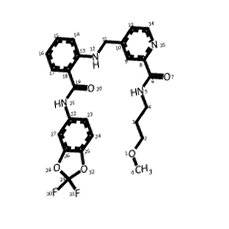 COCCCNC(=O)c1cc(CNc2ccccc2C(=O)Nc2ccc3c(c2)OC(F)(F)O3)ccn1